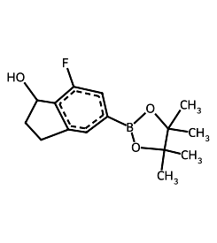 CC1(C)OB(c2cc(F)c3c(c2)CCC3O)OC1(C)C